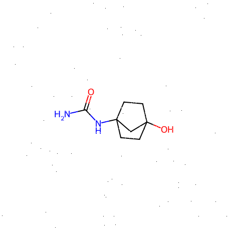 NC(=O)NC12CCC(O)(CC1)C2